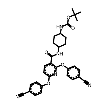 CC(C)(C)OC(=O)NC1CCC(NC(=O)c2ccc(Oc3ccc(C#N)cc3)nc2Oc2ccc(C#N)cc2)CC1